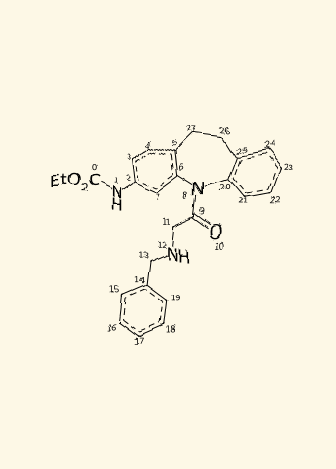 CCOC(=O)Nc1ccc2c(c1)N(C(=O)CNCc1ccccc1)c1ccccc1CC2